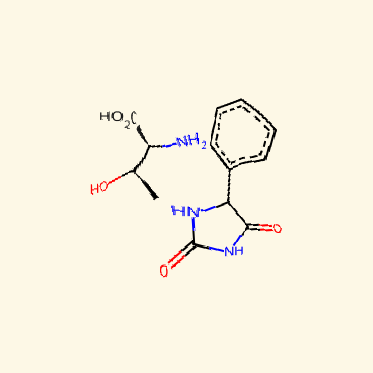 C[C@@H](O)[C@H](N)C(=O)O.O=C1NC(=O)C(c2ccccc2)N1